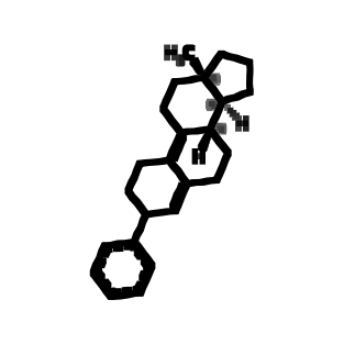 C[C@@]12CCC[C@H]1[C@@H]1CCC3=CC(c4ccccc4)CCC3=C1CC2